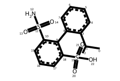 CC(C)c1ccccc1-c1c(S(N)(=O)=O)cccc1S(=O)(=O)O